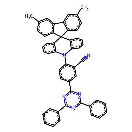 Cc1ccc2c(c1)-c1cc(C)ccc1C21c2ccccc2N(c2ccc(-c3nc(-c4ccccc4)nc(-c4ccccc4)n3)cc2C#N)c2ccccc21